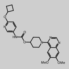 COc1cc2ncnc(N3CCC(OC(=O)Nc4ccc(OC5CCC5)nc4)CC3)c2cc1OC